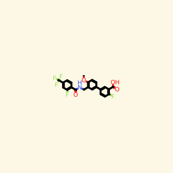 COc1ccc(-c2ccc(F)c(C(=O)O)c2)cc1CNC(=O)c1ccc(C(F)(F)F)cc1F